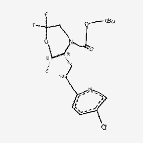 C[C@@H]1OC(F)(F)CN(C(=O)OC(C)(C)C)[C@@H]1CNc1ccc(Cl)cn1